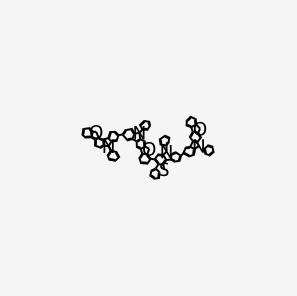 c1ccc(-n2c3ccc(-c4ccc5c6c7sc8ccccc8c7c(-c7cccc8c7oc7cc9c(cc78)c7cc(-c8ccc%10c%11c%12oc%13ccccc%13c%12ccc%11n(-c%11ccccc%11)c%10c8)ccc7n9-c7ccccc7)cc6n(-c6ccccc6)c5c4)cc3c3cc4c(cc32)oc2ccccc24)cc1